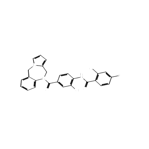 O=C(Nc1ccc(C(=O)N2Cc3cccn3Cc3ccccc32)cc1Cl)c1ccc(F)cc1Cl